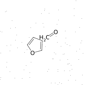 C=O.c1ccoc1